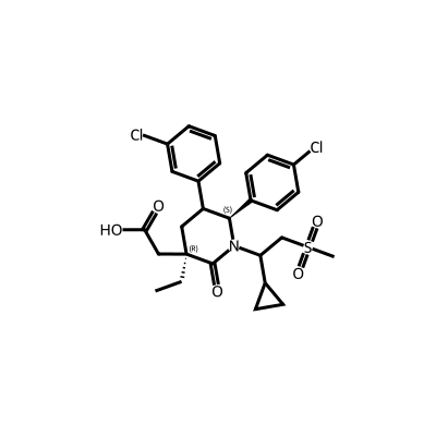 CC[C@]1(CC(=O)O)CC(c2cccc(Cl)c2)[C@@H](c2ccc(Cl)cc2)N(C(CS(C)(=O)=O)C2CC2)C1=O